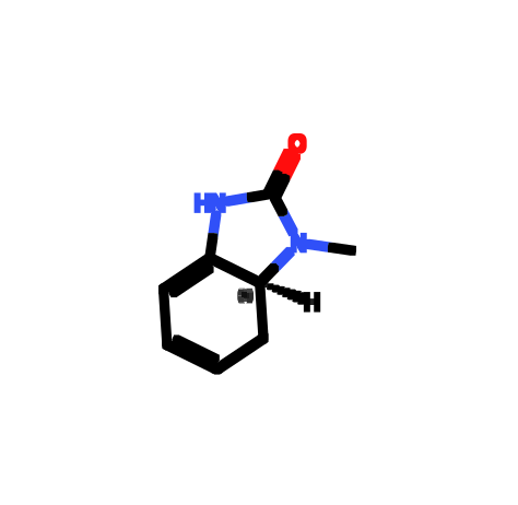 CN1C(=O)NC2=CC=CC[C@@H]21